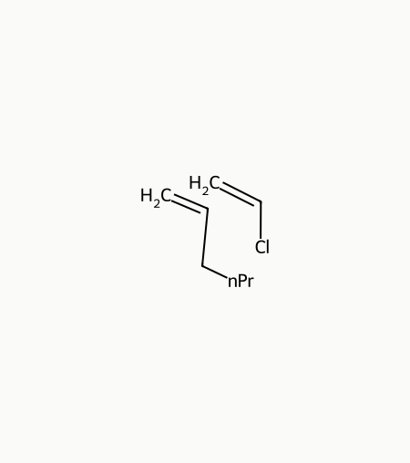 C=CCCCC.C=CCl